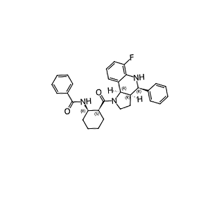 O=C(N[C@@H]1CCCC[C@@H]1C(=O)N1CC[C@@H]2[C@H](c3ccccc3)Nc3c(F)cccc3[C@@H]21)c1ccccc1